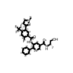 C[C@@H](CO)NC(=O)c1cnc(-c2ccccc2)c(NC(=O)c2cc(-c3ccn(C)n3)c(C(F)(F)F)cc2F)c1